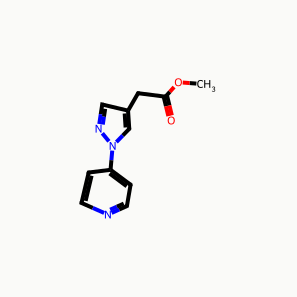 COC(=O)Cc1cnn(-c2ccncc2)c1